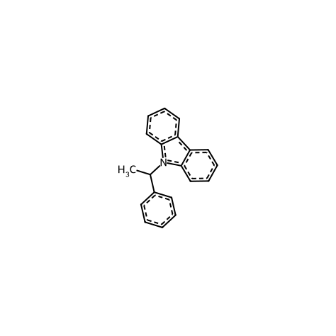 CC(c1ccccc1)n1c2ccccc2c2ccccc21